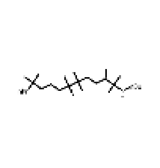 CCCCNC(C)(C)C(C)CCC(C)(C)C(C)(C)CCCC(C)(C)CCC